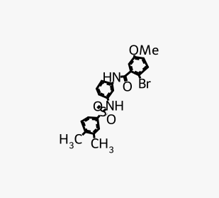 COc1ccc(Br)c(C(=O)Nc2cccc(NS(=O)(=O)c3ccc(C)c(C)c3)c2)c1